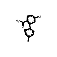 Cc1ccc(-c2cc(Cl)ccc2C(N)=O)cc1